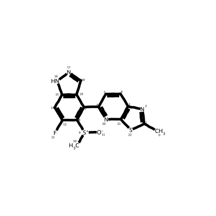 Cc1nc2ccc(-c3c([S+](C)[O-])c(F)cc4[nH]ncc34)nc2s1